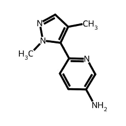 Cc1cnn(C)c1-c1ccc(N)cn1